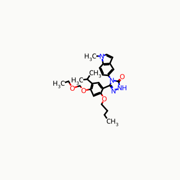 CCCCOc1cc(OCOCC)c(C(C)C)cc1-c1n[nH]c(=O)n1-c1ccc2c(ccn2C)c1